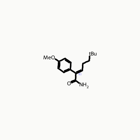 COc1ccc(/C(=C\CCC(C)(C)C)C(N)=O)cc1